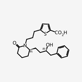 O=C(O)c1ccc(CCCN2C(=O)CCC[C@@H]2CC[C@@H](O)Cc2ccccc2)s1